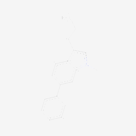 Cn1cc(CCC(=O)O)c2ccc(-c3ccccc3)cc21